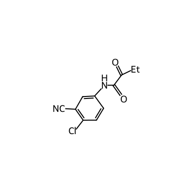 CCC(=O)C(=O)Nc1ccc(Cl)c(C#N)c1